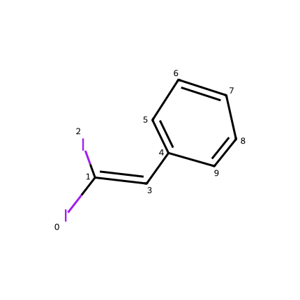 IC(I)=Cc1ccccc1